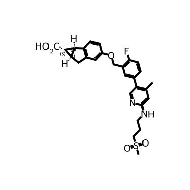 Cc1cc(NCCCS(C)(=O)=O)ncc1-c1ccc(F)c(COc2ccc3c(c2)C[C@H]2[C@H](C(=O)O)[C@@H]32)c1